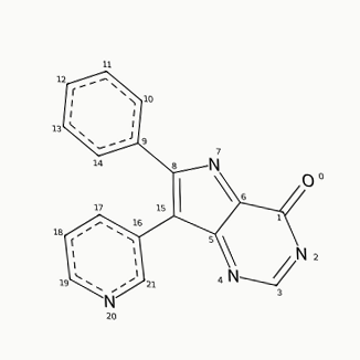 O=C1N=CN=C2C1=NC(c1ccccc1)=C2c1cccnc1